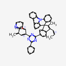 C=C(/C=C(\C=C/C)c1nc(-c2ccccc2)nc(-c2ccc3c(c2)C2(C(C)=C3/C=C\C)c3ccccc3-n3c4ccccc4c4cccc2c43)n1)c1ccccn1